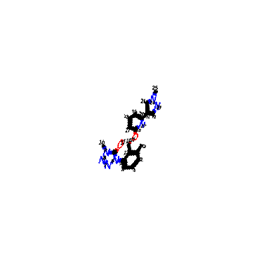 Cc1cccc(-n2nnn(C)c2=O)c1COc1cccc(-c2cnn(C)c2)n1